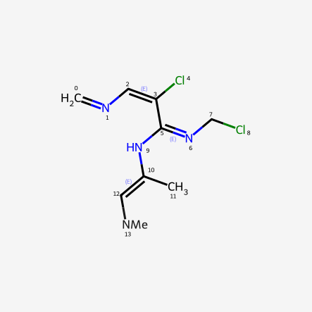 C=N/C=C(Cl)\C(=N/CCl)N/C(C)=C/NC